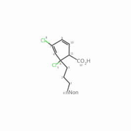 CCCCCCCCCCCCC1(Cl)C=C(Cl)C=CC1C(=O)O